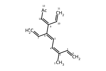 C=C\C(C)=C/C=C(C=C)/C(C=C)=C/C(C)=O